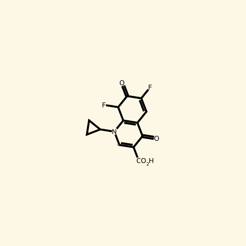 O=C(O)c1[c]n(C2CC2)c2c(c1=O)C=C(F)C(=O)C2F